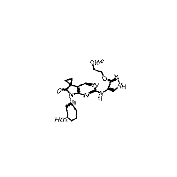 COCCOc1n[nH]cc1Nc1ncc2c(n1)N([C@@H]1CCC[C@@H](O)C1)C(=O)C21CC1